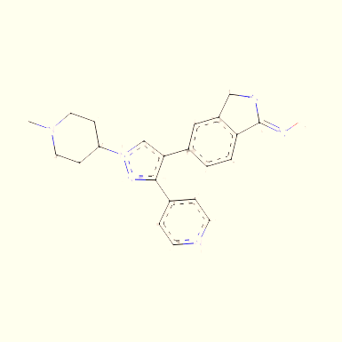 CN1CCC(n2cc(-c3ccc4c(c3)CN/C4=N\O)c(-c3ccncc3)n2)CC1